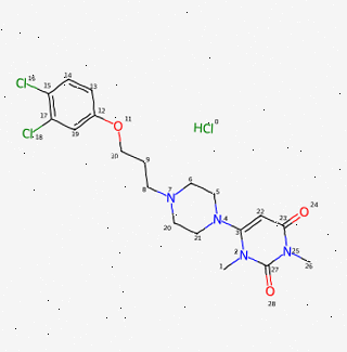 Cl.Cn1c(N2CCN(CCCOc3ccc(Cl)c(Cl)c3)CC2)cc(=O)n(C)c1=O